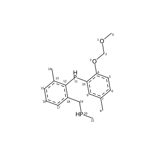 COCOc1ccc(C)cc1Pc1c(C)cccc1CPC